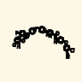 N#Cc1ccc(O[C@H]2CC[C@H](NC(=O)c3ccc(N4CCC(CN5CCC(n6ccc7c(N8CCC(=O)NC8=O)c(F)ccc76)CC5)CC4)nn3)CC2)cc1Cl